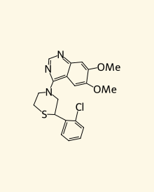 COc1cc2ncnc(N3CCSC(c4ccccc4Cl)C3)c2cc1OC